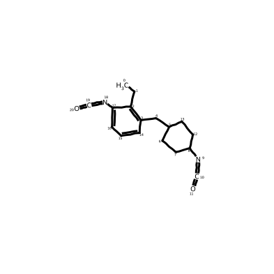 CCc1c(CC2CCC(N=C=O)CC2)cccc1N=C=O